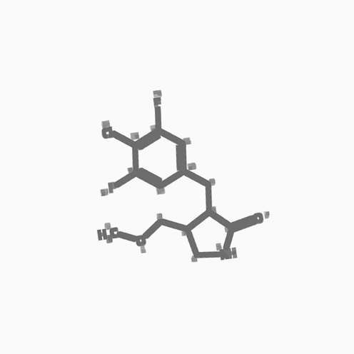 COCC1CNC(=O)C1Cc1cc(F)c(Cl)c(F)c1